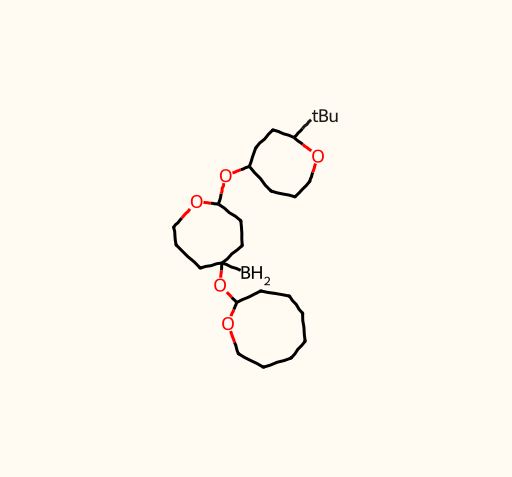 BC1(OC2CCCCCCCO2)CCCOC(OC2CCCOC(C(C)(C)C)CC2)CC1